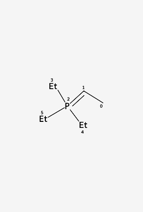 CC=P(CC)(CC)CC